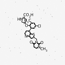 Cc1cc(Cl)cc(-c2ccnc3cc(Cn4c(=O)ccn(C)c4=O)sc23)c1O[C@H]1CN[C@H](C(=O)O)C1